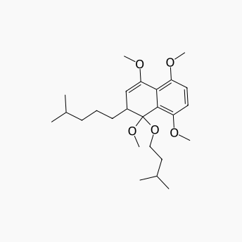 COC1=CC(CCCC(C)C)C(OC)(OCCC(C)C)c2c(OC)ccc(OC)c21